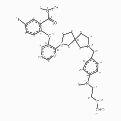 CC(C)N(C)C(=O)c1cc(F)ccc1Oc1cncnc1N1CCC2(CCN(Cc3ccc(N(C)CCOC=O)cc3)C2)C1